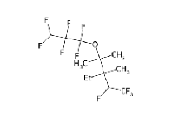 CCC(C)(C(F)C(F)(F)F)C(C)(C)OC(F)(F)C(F)(F)C(F)F